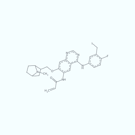 C=CC(=O)Nc1cc2c(Nc3ccc(F)c(CI)c3)ncnc2cc1OCC1CC2CCC1N2C